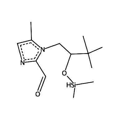 Cc1cnc(C=O)n1CC(O[SiH](C)C)C(C)(C)C